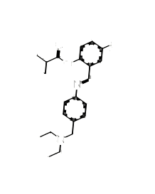 CCN(CC)Cc1ccc(N=Cc2cc(Cl)ccc2OC(=O)C(C)C)cc1